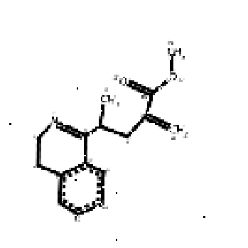 C=C(CC(C)C1=NCCc2ccccc21)C(=O)OC